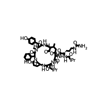 CC(C)C[C@@H]1NC(=O)C(NC(=O)[C@H](CCCNC(N)=O)NC(=O)C(C)C)[C@@H]2CC(C)[C@H](NC(=O)[C@H](Cc3ccc(O)cc3)N(C)C(=O)C(c3ccccc3)N3C(=O)C(CC[C@@H]3O)NC1=O)C(=O)O2